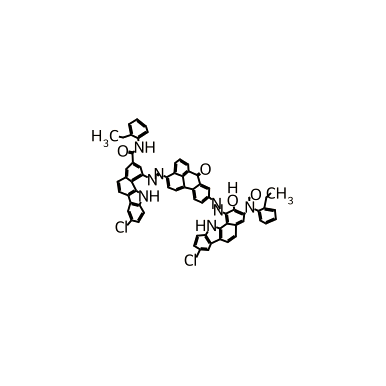 CCc1ccccc1NC(=O)c1cc(N=Nc2ccc3c4c(cccc24)C(=O)c2cc(N=Nc4c(O)c(N(C=O)c5ccccc5CC)cc5ccc6c7cc(Cl)ccc7[nH]c6c45)ccc2-3)c2c(ccc3c4cc(Cl)ccc4[nH]c32)c1